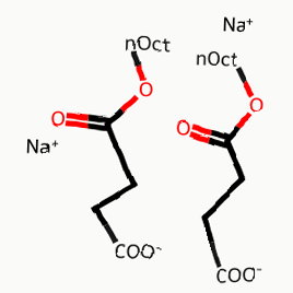 CCCCCCCCOC(=O)CCC(=O)[O-].CCCCCCCCOC(=O)CCC(=O)[O-].[Na+].[Na+]